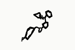 Fc1ccc(COc2cccc(C(c3ccccc3)N3CCC3)c2)cc1